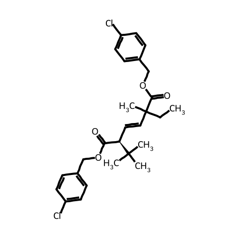 CCC(C)(/C=C/[C@H](C(=O)OCc1ccc(Cl)cc1)C(C)(C)C)C(=O)OCc1ccc(Cl)cc1